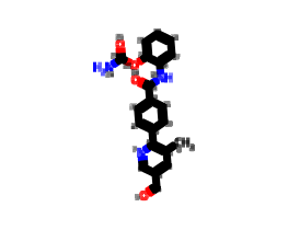 Cc1cc(C=O)cnc1-c1ccc(C(=O)Nc2ccccc2OC(N)=O)cc1